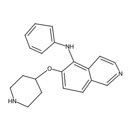 c1ccc(Nc2c(OC3CCNCC3)ccc3cnccc23)cc1